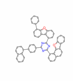 c1ccc(-c2cccc3c2oc2cccc(-c4nc(-c5ccc(-c6cccc7ccccc67)cc5)nc(-c5cccc6ccc7c8ccccc8oc7c56)n4)c23)cc1